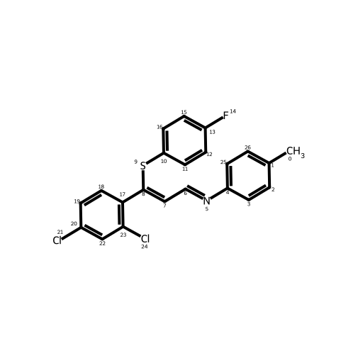 Cc1ccc(N=CC=C(Sc2ccc(F)cc2)c2ccc(Cl)cc2Cl)cc1